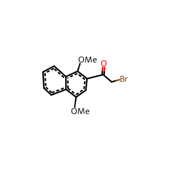 COc1cc(C(=O)CBr)c(OC)c2ccccc12